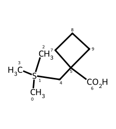 CS(C)(C)CC1(C(=O)O)CCC1